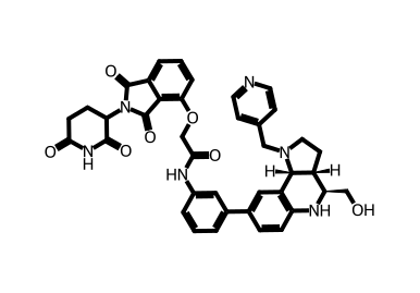 O=C1CCC(N2C(=O)c3cccc(OCC(=O)Nc4cccc(-c5ccc6c(c5)[C@H]5[C@H](CCN5Cc5ccncc5)[C@@H](CO)N6)c4)c3C2=O)C(=O)N1